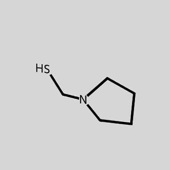 SCN1CCCC1